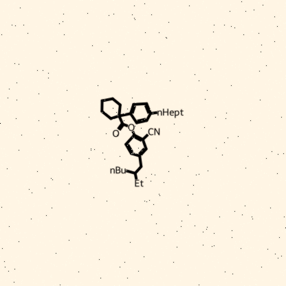 CCCCCCCc1ccc(C2(C(=O)Oc3ccc(CC(CC)CCCC)cc3C#N)CCCCC2)cc1